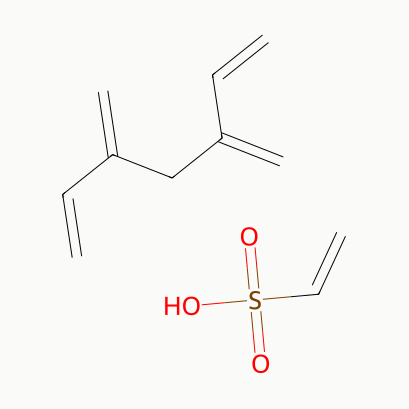 C=CC(=C)CC(=C)C=C.C=CS(=O)(=O)O